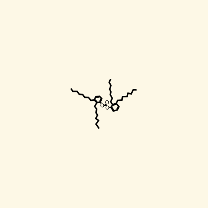 CCCCCCCCc1cccc(OC(=O)Oc2cccc(CCCCCCCC)c2CCCCCCCC)c1CCCCCCCC